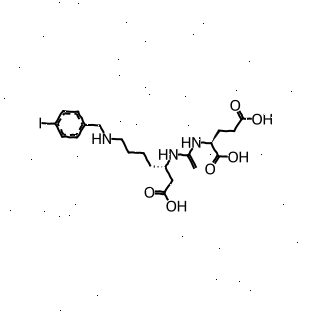 C=C(N[C@@H](CCCCNCc1ccc(I)cc1)CC(=O)O)N[C@@H](CCC(=O)O)C(=O)O